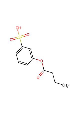 [CH2]CCC(=O)Oc1cccc(S(=O)(=O)O)c1